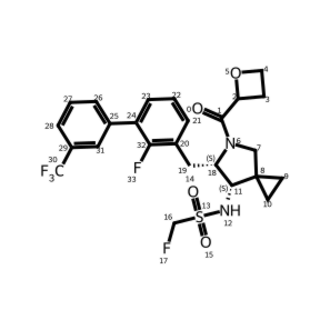 O=C(C1CCO1)N1CC2(CC2)[C@H](NS(=O)(=O)CF)[C@@H]1Cc1cccc(-c2cccc(C(F)(F)F)c2)c1F